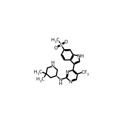 CC1(C)CNC[C@@H](Nc2ncc(C(F)(F)F)c(-c3c[nH]c4cc(S(C)(=O)=O)ccc34)n2)C1